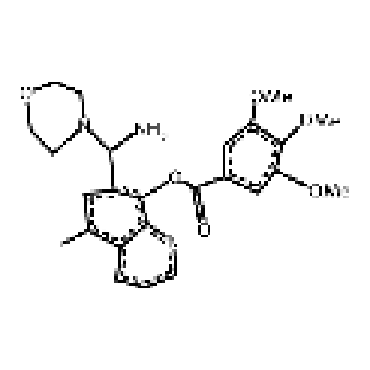 COc1cc(C(=O)Oc2c(C(N)N3CCOCC3)cc(C)c3cccnc23)cc(OC)c1OC